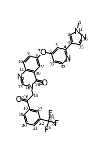 Cn1cc(-c2cc(Oc3ccc4ncn(CC(=O)c5cccc(C(F)(F)F)c5)c(=O)c4c3)ccn2)cn1